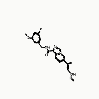 C=NN/C=C(\C)c1ccc2c(C(=O)NCc3cc(F)cc(OC)c3)ncn2c1